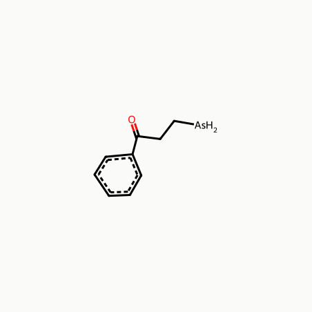 O=C(CC[AsH2])c1ccccc1